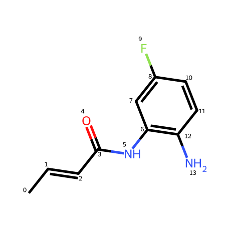 CC=CC(=O)Nc1cc(F)ccc1N